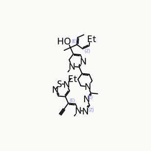 C#C/C(=C\N(C)/N=C\N=C(/C)N1CC=C(C2=NC=C(C(C)(O)C(/C=C\CC)=C/C)CN2C)CC1)C1=CN(CC)SN=C1